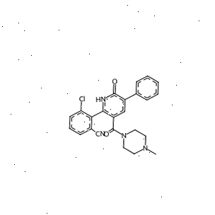 CN1CCN(C(=O)c2cc(-c3ccccc3)c(=O)[nH]c2-c2c(Cl)cccc2C#N)CC1